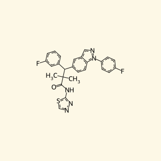 CC(C)(C(=O)Nc1nncs1)C(c1cccc(F)c1)c1ccc2c(cnn2-c2ccc(F)cc2)c1